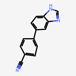 N#Cc1ccc(-c2ccc3[nH]cnc3c2)cc1